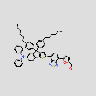 CCCCCCc1ccc(C2(c3ccc(CCCCCC)cc3)c3cc(N(c4ccccc4)c4ccccc4)ccc3-c3sc(-c4ccc(-c5ccc(C=O)o5)c5nsnc45)cc32)cc1